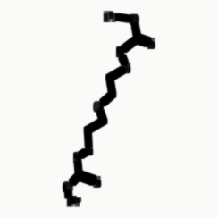 CC(C)OC(=S)SSCCOCCSSC(=S)OC(C)C